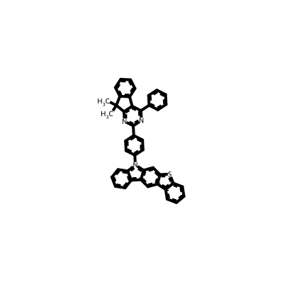 CC1(C)c2ccccc2-c2c(-c3ccccc3)nc(-c3ccc(-n4c5ccccc5c5cc6c(cc54)sc4ccccc46)cc3)nc21